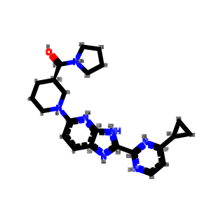 O=C([C@@H]1CCCN(c2ccc3nc(-c4nccc(C5CC5)n4)[nH]c3n2)C1)N1CCCC1